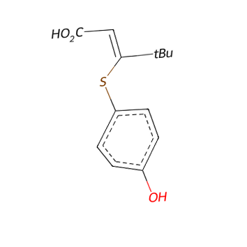 CC(C)(C)/C(=C/C(=O)O)Sc1ccc(O)cc1